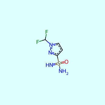 N=S(N)(=O)c1ccn(C(F)F)n1